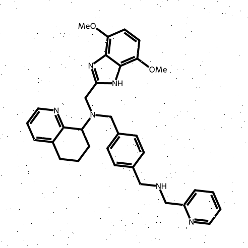 COc1ccc(OC)c2[nH]c(CN(Cc3ccc(CNCc4ccccn4)cc3)C3CCCc4cccnc43)nc12